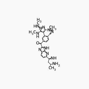 CNc1nn(NC)c(NC)c1-c1cc(C(=O)c2nc3ccc(C(=N)CC(C)N)nc3[nH]2)ccc1C#N